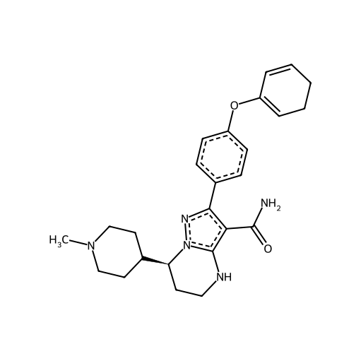 CN1CCC([C@@H]2CCNc3c(C(N)=O)c(-c4ccc(OC5=CCCC=C5)cc4)nn32)CC1